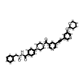 O=C(N[S+]([O-])Cc1ccccc1)c1ccc(N2CCN(C(=O)c3cncc(C#Cc4cncc(OC5CCCCO5)c4)c3)CC2)cc1